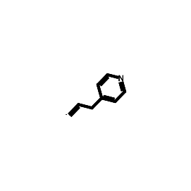 [CH]=CCc1ccncc1